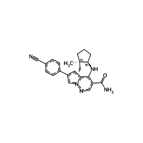 C[C@]1(F)CCC[C@H]1Nc1c(C(N)=O)cnn2cc(-c3ccc(C#N)cc3)cc12